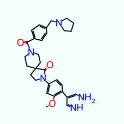 COc1cc(N2CCC3(CCN(C(=O)c4ccc(CN5CCCC5)cc4)CC3)C2=O)ccc1/C(C=N)=C/N